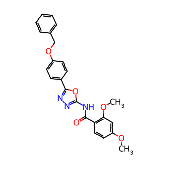 COc1ccc(C(=O)Nc2nnc(-c3ccc(OCc4ccccc4)cc3)o2)c(OC)c1